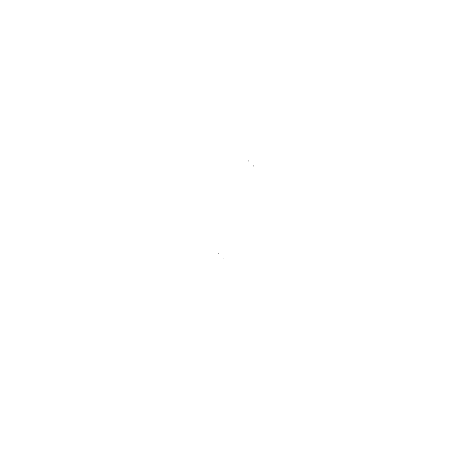 Cc1ccncc1Nc1ccccc1